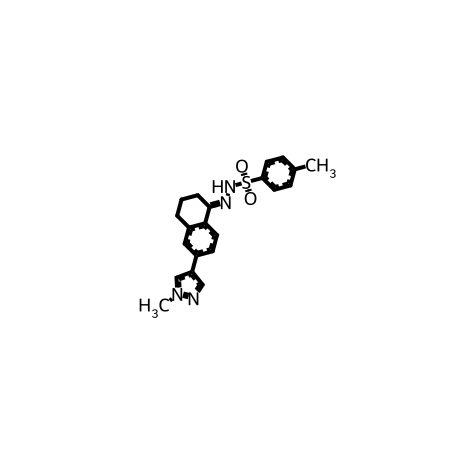 Cc1ccc(S(=O)(=O)NN=C2CCCc3cc(-c4cnn(C)c4)ccc32)cc1